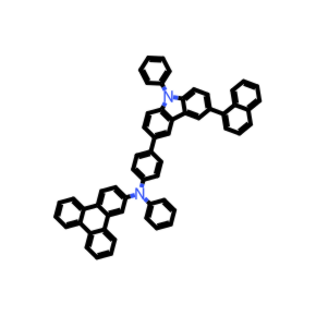 c1ccc(N(c2ccc(-c3ccc4c(c3)c3cc(-c5cccc6ccccc56)ccc3n4-c3ccccc3)cc2)c2ccc3c4ccccc4c4ccccc4c3c2)cc1